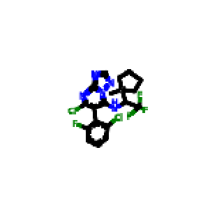 C[Si]1(C(Nc2c(-c3c(F)cccc3Cl)c(Cl)nc3ncnn23)C(F)(F)F)CCCC1